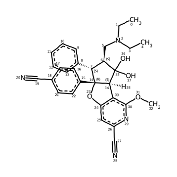 CCN(CC)C[C@@H]1[C@@H](c2ccccc2)[C@@]2(c3ccc(C#N)cc3)Oc3cc(C#N)nc(OC)c3[C@@H]2C1(O)O